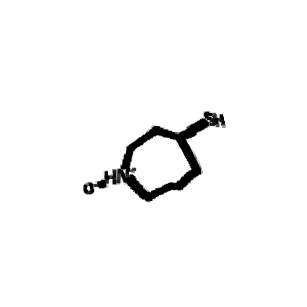 [O-][NH+]1CCCC(S)CC1